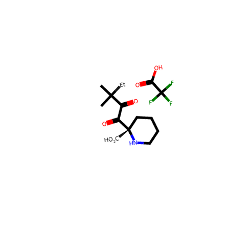 CCC(C)(C)C(=O)C(=O)[C@]1(C(=O)O)CCCCN1.O=C(O)C(F)(F)F